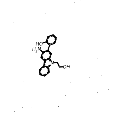 Nc1cc2c3ccccc3n(CCO)c2cc1-c1ccccc1O